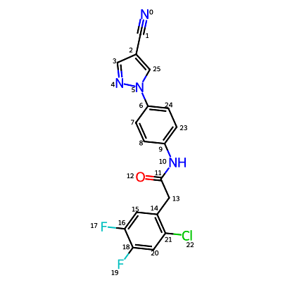 N#Cc1cnn(-c2ccc(NC(=O)Cc3cc(F)c(F)cc3Cl)cc2)c1